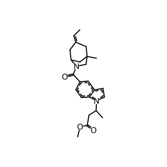 C/C=C1/CC2CC(C)(C1)CN2C(=O)c1ccc2c(ccn2C(C)CC(=O)OC)c1